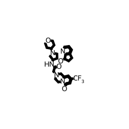 O=C(CN1CCn2c(cc(C(F)(F)F)cc2=O)C1)NC1CN(C2CCOCC2)C[C@@H]1OC1CCc2cccnc21